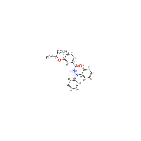 CCCC(Oc1cccc(C(=O)NN(c2ccccc2)c2ccccc2)c1)C(=O)O